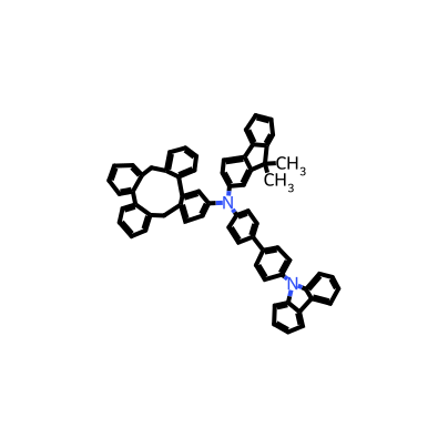 CC1(C)c2ccccc2-c2ccc(N(c3ccc(-c4ccc(-n5c6ccccc6c6ccccc65)cc4)cc3)c3ccc4c(c3)-c3ccccc3Cc3ccccc3-c3ccccc3C4)cc21